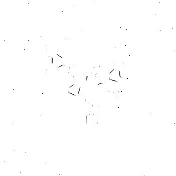 COc1ccc(CCC(OC(=O)[C@@H]2CCCN2C(=O)[C@@H](CC2CC2)c2cc(OC)c(OC)c(OC)c2)c2cccc(OCCN3CCOCC3)c2)cc1OC